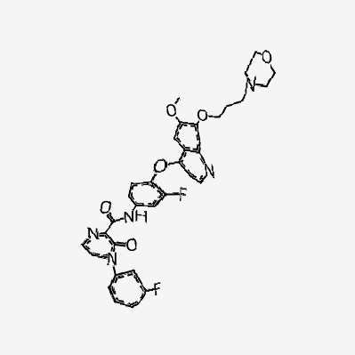 COc1cc2c(Oc3ccc(NC(=O)c4nccn(-c5cccc(F)c5)c4=O)cc3F)ccnc2cc1OCCCN1CCOCC1